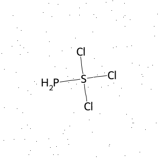 PS(Cl)(Cl)Cl